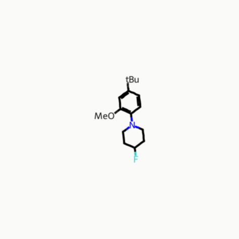 COc1cc(C(C)(C)C)ccc1N1CCC(F)CC1